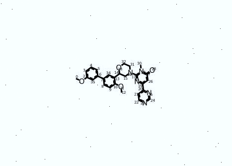 COc1cccc(-c2ccc(OC)c(C3CN(c4nc(-c5ccncn5)cc(=O)n4C)CCO3)c2)c1